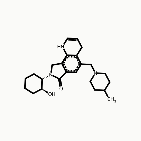 CC1CCN(Cc2cc3c(c4c2CC=CN4)CN([C@H]2CCCC[C@@H]2O)C3=O)CC1